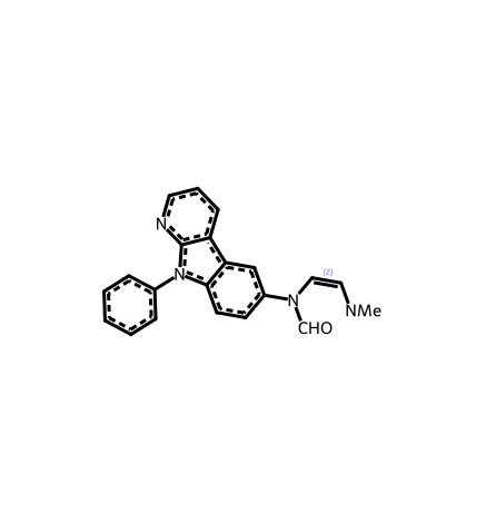 CN/C=C\N(C=O)c1ccc2c(c1)c1cccnc1n2-c1ccccc1